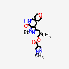 CCn1nc(C[C@@H](C)COC(=O)c2cnn(C)c2)c2c1C(=O)NCC1(CCOCC1)C2